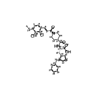 CSc1ccc(/C=C/C(=O)N2CCC(C(=O)N[C@@H](Cc3cncn3Cc3ccccc3)C(=O)O)CC2)c(Cl)c1Cl